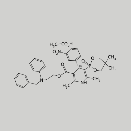 CC(=O)O.CC1=C(C(=O)OCCN(Cc2ccccc2)c2ccccc2)[C@H](c2cccc([N+](=O)[O-])c2)C(P2(=O)OCC(C)(C)CO2)=C(C)N1